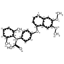 COc1cc2nccc(Oc3ccc(N(C(=O)O)c4c(C)cccc4C)cc3)c2cc1OC